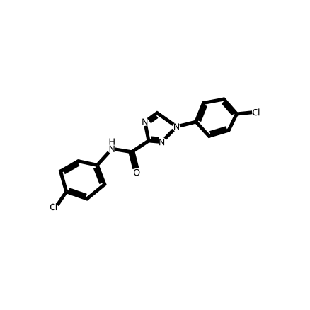 O=C(Nc1ccc(Cl)cc1)c1ncn(-c2ccc(Cl)cc2)n1